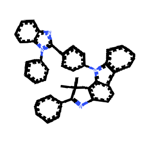 CC1(C)C(c2ccccc2)=Nc2ccc3c4ccccc4n(-c4ccc(-c5nc6ccccc6n5-c5ccccc5)cc4)c3c21